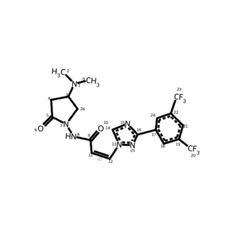 CN(C)C1CC(=O)N(NC(=O)/C=C\n2cnc(-c3cc(C(F)(F)F)cc(C(F)(F)F)c3)n2)C1